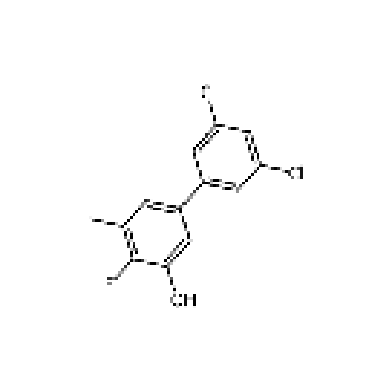 Cc1cc(-c2cc(Cl)cc(Cl)c2)cc(O)c1F